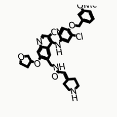 COc1cccc(COc2ccc(Nc3c(C#N)cnc4cc(OC5CCOC5)c(CNC(=O)C=C5CCNCC5)cc34)cc2Cl)c1